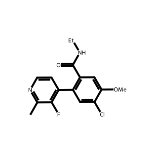 CCNC(=O)c1cc(OC)c(Cl)cc1-c1ccnc(C)c1F